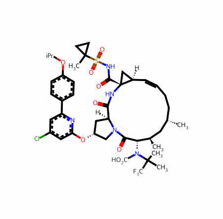 CC(C)Oc1ccc(-c2cc(Cl)cc(O[C@@H]3C[C@H]4C(=O)N[C@]5(C(=O)NS(=O)(=O)C6(C)CC6)C[C@H]5/C=C\CC[C@H](C)C[C@@H](C)[C@H](N(C(=O)O)C(C)(C)C(F)(F)F)C(=O)N4C3)n2)cc1